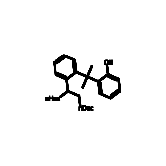 CCCCCCCCCCCC(CCCCCC)c1ccccc1C(C)(C)c1ccccc1O